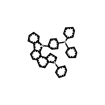 c1ccc(N(c2ccccc2)c2ccc(-n3c4ccccc4c4ccc5ccc6c(ccn6-c6ccccc6)c5c43)cc2)cc1